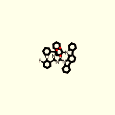 Fc1cccc(-c2nc(-c3ccccc3)nc(-n3c4ccccc4c4ccc5c6ccccc6n(-c6ccc(-c7ccccc7)cc6)c5c43)n2)c1Cl